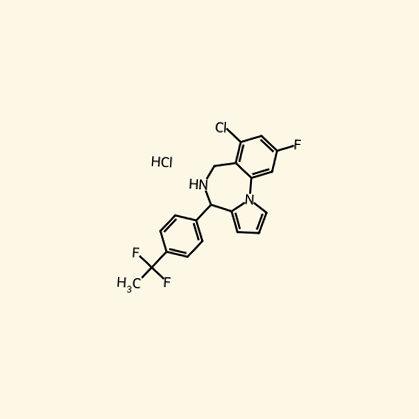 CC(F)(F)c1ccc(C2NCc3c(Cl)cc(F)cc3-n3cccc32)cc1.Cl